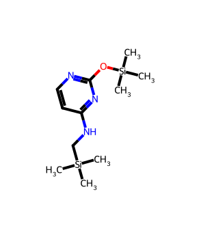 C[Si](C)(C)CNc1ccnc(O[Si](C)(C)C)n1